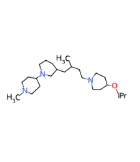 CC(CCN1CCC(OC(C)C)CC1)CC1CCCN(C2CCN(C)CC2)C1